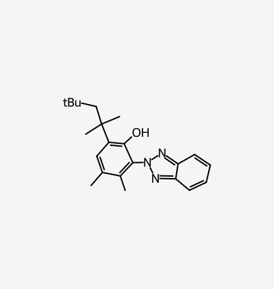 Cc1cc(C(C)(C)CC(C)(C)C)c(O)c(-n2nc3ccccc3n2)c1C